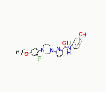 COc1ccc(N2CCCN(c3cccc(C(=O)N[C@H]4C5CC6CC4C[C@](O)(C6)C5)n3)CC2)c(F)c1